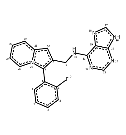 Fc1ccccc1-c1c(CNc2ncnc3[nH]cnc23)cc2ccccn12